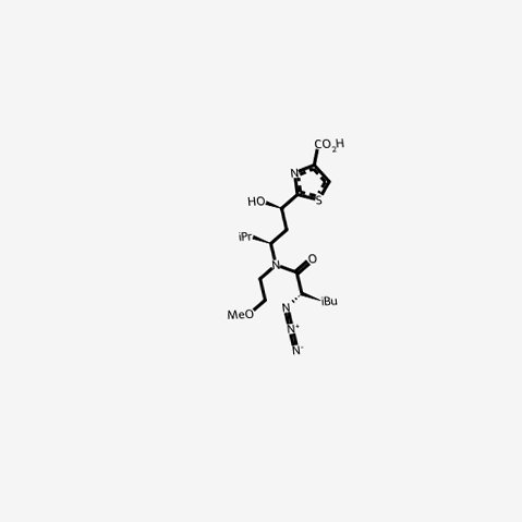 CC[C@H](C)[C@H](N=[N+]=[N-])C(=O)N(CCOC)[C@H](C[C@@H](O)c1nc(C(=O)O)cs1)C(C)C